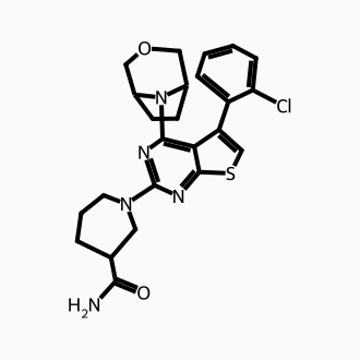 NC(=O)C1CCCN(c2nc(N3C4CCC3COC4)c3c(-c4ccccc4Cl)csc3n2)C1